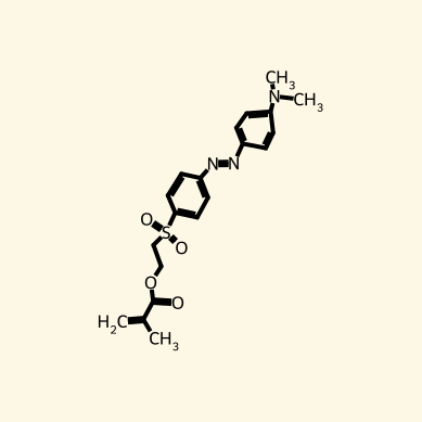 C=C(C)C(=O)OCCS(=O)(=O)c1ccc(N=Nc2ccc(N(C)C)cc2)cc1